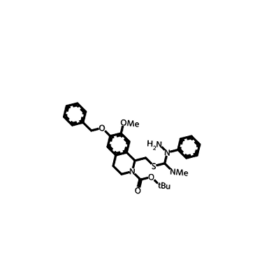 CNC(SCC1c2cc(OC)c(OCc3ccccc3)cc2CCN1C(=O)OC(C)(C)C)N(N)c1ccccc1